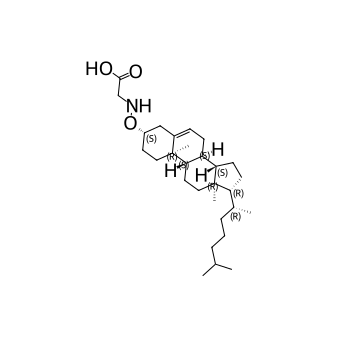 CC(C)CCC[C@@H](C)[C@H]1CC[C@H]2[C@@H]3CC=C4C[C@@H](ONCC(=O)O)CC[C@]4(C)[C@H]3CC[C@]12C